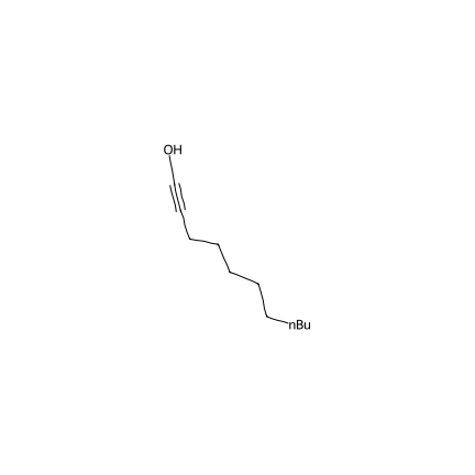 CCCCCCCCCC#CO